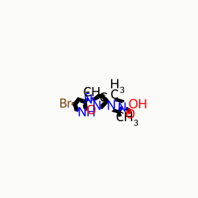 CC1CN(c2ccc(N(C)c3cc(Br)c[nH]c3=O)nc2)C(C)CN1C(=O)O